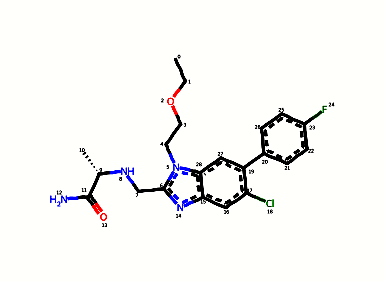 CCOCCn1c(CN[C@@H](C)C(N)=O)nc2cc(Cl)c(-c3ccc(F)cc3)cc21